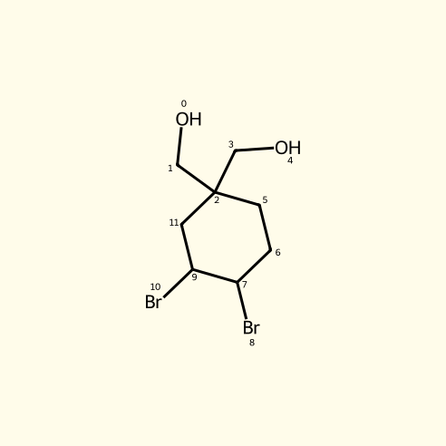 OCC1(CO)CCC(Br)C(Br)C1